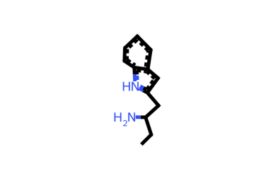 CCC(N)Cc1cc2ccccc2[nH]1